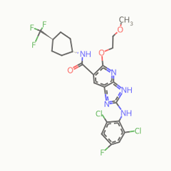 COCCOc1nc2[nH]c(Nc3c(Cl)cc(F)cc3Cl)nc2cc1C(=O)N[C@H]1CC[C@H](C(F)(F)F)CC1